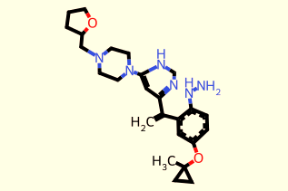 C=C(C1=NCNC(N2CCN(CC3CCCO3)CC2)=C1)c1cc(OC2(C)CC2)ccc1NN